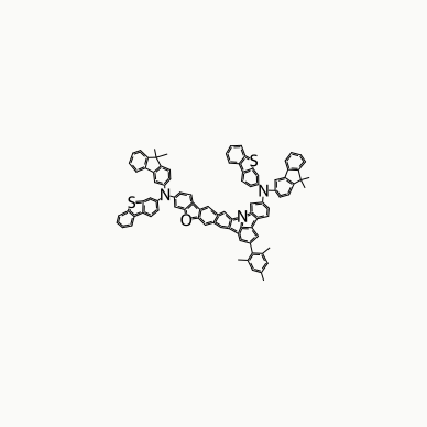 Cc1cc(C)c(-c2cc3c4ccc(N(c5ccc6c(c5)-c5ccccc5C6(C)C)c5ccc6c(c5)sc5ccccc56)cc4n4c5cc6cc7c(cc6cc5c(c2)c34)oc2cc(N(c3ccc4c(c3)-c3ccccc3C4(C)C)c3ccc4c(c3)sc3ccccc34)ccc27)c(C)c1